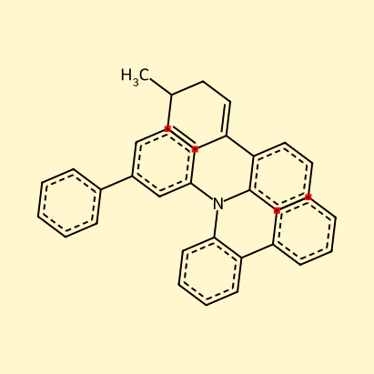 CC1C=CC(c2ccccc2N(c2cccc(-c3ccccc3)c2)c2ccccc2-c2ccccc2)=CC1